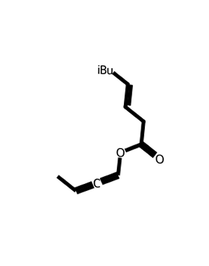 CC=C=COC(=O)CC=CC(C)CC